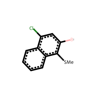 [B]c1cc(Cl)c2ccccc2c1SC